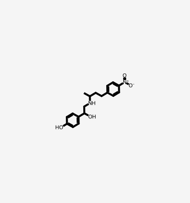 CC(CCc1ccc([N+](=O)[O-])cc1)NCC(O)c1ccc(O)cc1